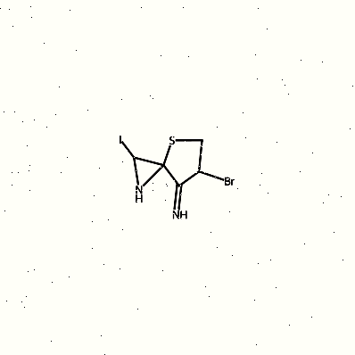 N=C1C(Br)CSC12NC2I